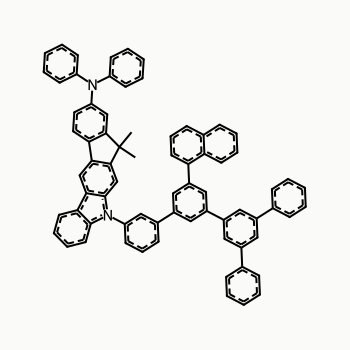 CC1(C)c2cc(N(c3ccccc3)c3ccccc3)ccc2-c2cc3c4ccccc4n(-c4cccc(-c5cc(-c6cc(-c7ccccc7)cc(-c7ccccc7)c6)cc(-c6cccc7ccccc67)c5)c4)c3cc21